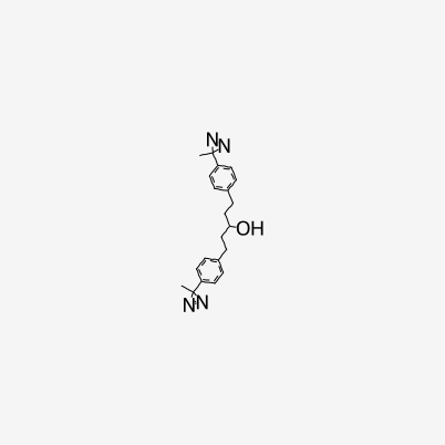 CC1(c2ccc(CCC(O)CCc3ccc(C4(C)N=N4)cc3)cc2)N=N1